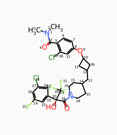 CN(C)C(=O)c1ccc(OC2CC(CC3CCN(C(=O)[C@](O)(c4cc(F)cc(Cl)c4)C(F)(F)F)CC3)C2)cc1Cl